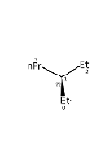 C[CH][C@H](CC)CCC